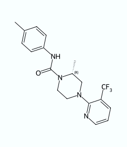 Cc1ccc(NC(=O)N2CCN(c3ncccc3C(F)(F)F)C[C@H]2C)cc1